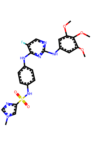 COc1cc(Nc2ncc(F)c(Nc3ccc(NS(=O)(=O)c4cn(C)cn4)cc3)n2)cc(OC)c1OC